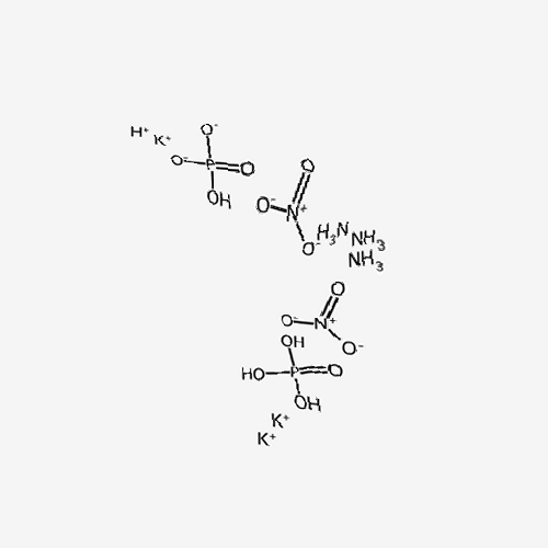 N.N.N.O=P(O)(O)O.O=P([O-])([O-])O.O=[N+]([O-])[O-].O=[N+]([O-])[O-].[H+].[K+].[K+].[K+]